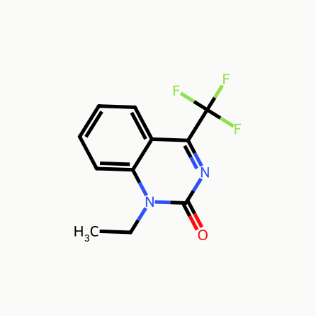 CCn1c(=O)nc(C(F)(F)F)c2ccccc21